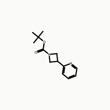 CC(C)(C)OC(=O)N1CC(c2ccccn2)C1